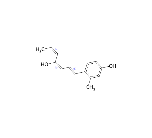 C\C=C/C(O)=C\C=C\c1ccc(O)cc1C